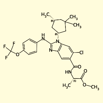 COC(=O)[C@H](C)NC(=O)c1cc2nc(Nc3ccc(OC(F)(F)F)cc3)n([C@@H]3C[C@H](C)CC(C)(C)C3)c2cc1Cl